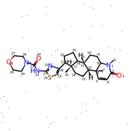 CN1C(=O)C=C[C@@]2(C)C1CC[C@@H]1[C@H]2CC[C@]2(C)C(c3csc(NC(=O)N4CCOCC4)n3)CC[C@@H]12